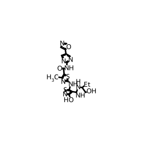 CCC(CO)NC(=N)c1c(O)nsc1Nc1nc(C)c(C(=O)Nc2ncc(-c3cnco3)cn2)s1